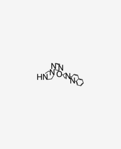 c1ccc2nc(N3CC(Oc4nccnc4N4CCCNCC4)C3)ccc2c1